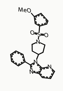 COc1cccc(S(=O)(=O)N2CCC(n3c(-c4ccccc4)nc4cccnc43)CC2)c1